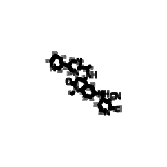 CC(Nc1cc(=O)n(C)c2ccc(Nc3ccnc(Cl)c3C#N)cc12)c1ncc(-c2cccnc2)cn1